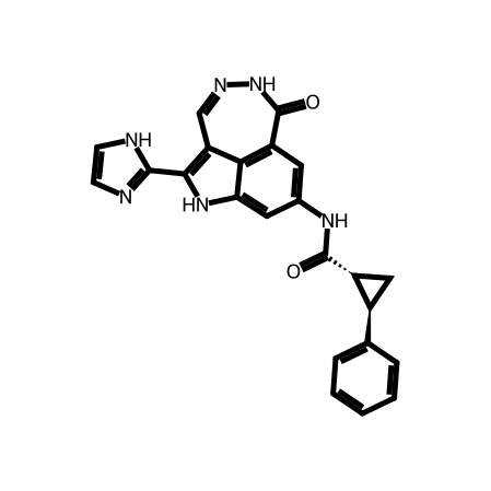 O=C1NN=Cc2c(-c3ncc[nH]3)[nH]c3cc(NC(=O)[C@@H]4C[C@H]4c4ccccc4)cc1c23